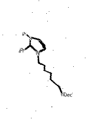 CCCCCCCCCCCCCCCCN1C=CN(C(C)C)C1C(C)C